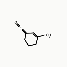 O=C=C1C=C(C(=O)O)CCC1